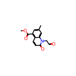 COC(=O)c1cc(C)cc2c1ccc(=O)n2CC=O